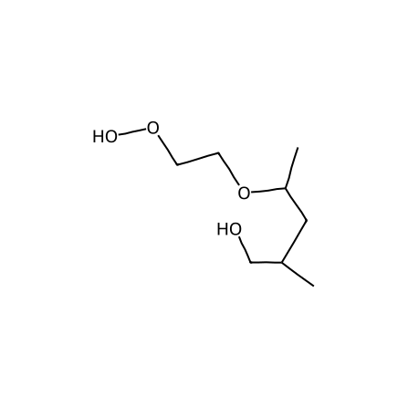 CC(CO)CC(C)OCCOO